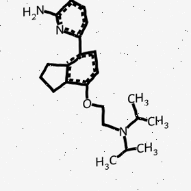 CC(C)N(CCOc1ccc(-c2cccc(N)n2)c2c1CCC2)C(C)C